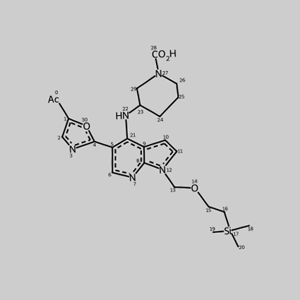 CC(=O)c1cnc(-c2cnc3c(ccn3COCC[Si](C)(C)C)c2NC2CCCN(C(=O)O)C2)o1